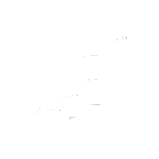 C=Cc1ccc(-c2cc(C)ccc2F)cc1